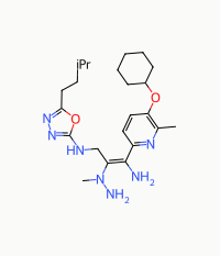 Cc1nc(/C(N)=C(\CNc2nnc(CCC(C)C)o2)N(C)N)ccc1OC1CCCCC1